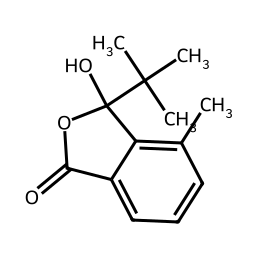 Cc1cccc2c1C(O)(C(C)(C)C)OC2=O